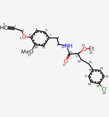 C#CCOc1ccc(CCNC(=O)C(CCc2ccc(Cl)cc2)OCC)cc1OC